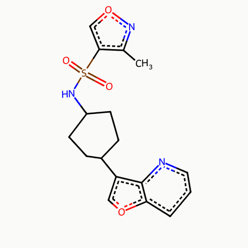 Cc1nocc1S(=O)(=O)NC1CCC(c2coc3cccnc23)CC1